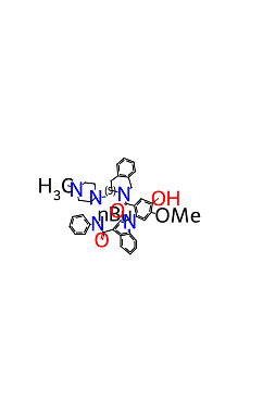 CCCCN(C(=O)c1cn(-c2cc(OC)c(O)cc2C(=O)N2Cc3ccccc3C[C@H]2CN2CCN(C)CC2)c2ccccc12)c1ccccc1